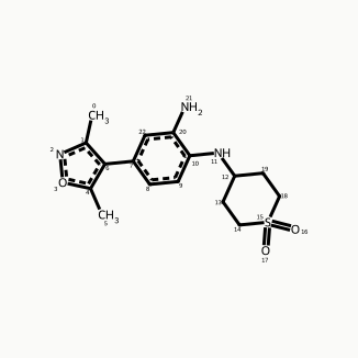 Cc1noc(C)c1-c1ccc(NC2CCS(=O)(=O)CC2)c(N)c1